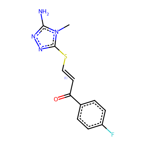 Cn1c(N)nnc1S/C=C/C(=O)c1ccc(F)cc1